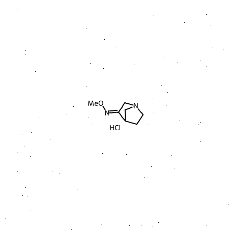 CON=C1CN2CCC1C2.Cl